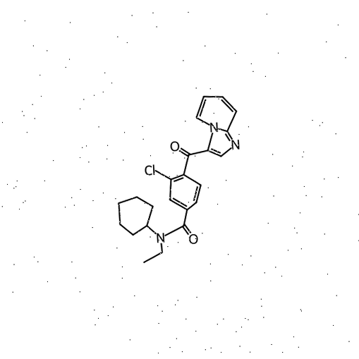 CCN(C(=O)c1ccc(C(=O)c2cnc3ccccn23)c(Cl)c1)C1CCCCC1